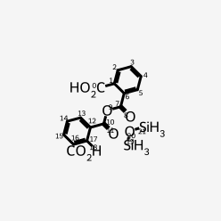 O=C(O)c1ccccc1C(=O)OC(=O)c1ccccc1C(=O)O.[SiH3]O[SiH3]